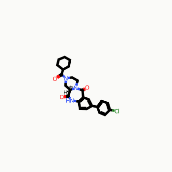 O=C1Nc2ccc(-c3ccc(Cl)cc3)cc2C(=O)N2CCN(C(=O)C3CCCCC3)C[C@H]12